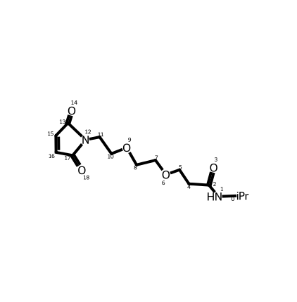 CC(C)NC(=O)CCOCCOCCN1C(=O)C=CC1=O